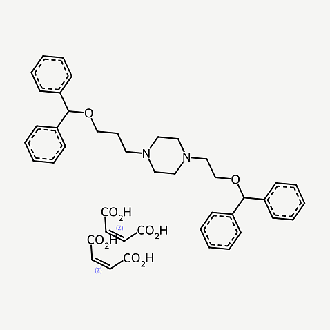 O=C(O)/C=C\C(=O)O.O=C(O)/C=C\C(=O)O.c1ccc(C(OCCCN2CCN(CCOC(c3ccccc3)c3ccccc3)CC2)c2ccccc2)cc1